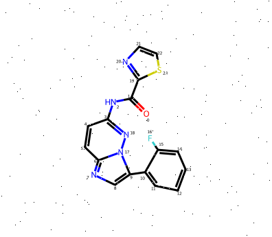 O=C(Nc1ccc2ncc(-c3ccccc3F)n2n1)c1nccs1